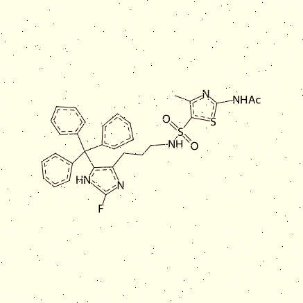 CC(=O)Nc1nc(C)c(S(=O)(=O)NCCCc2nc(F)[nH]c2C(c2ccccc2)(c2ccccc2)c2ccccc2)s1